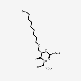 CCCCCCCCCCCCCCCCCCOC[C@@H](NC(=O)CCCCC)C(=O)N[C@H](C(=O)O)C(C)C